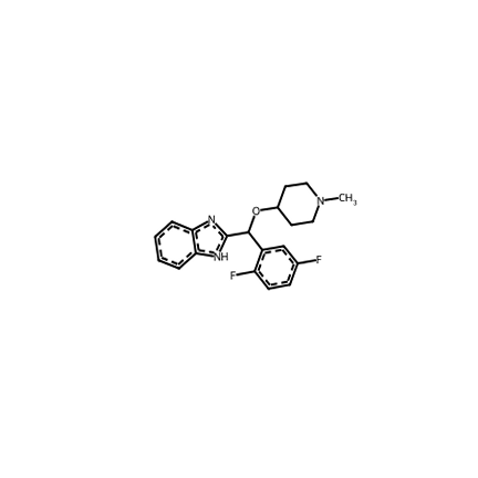 CN1CCC(OC(c2nc3ccccc3[nH]2)c2cc(F)ccc2F)CC1